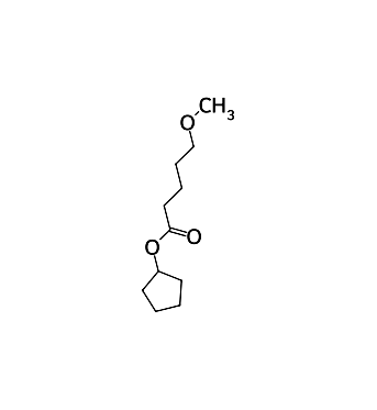 COCCCCC(=O)OC1CCCC1